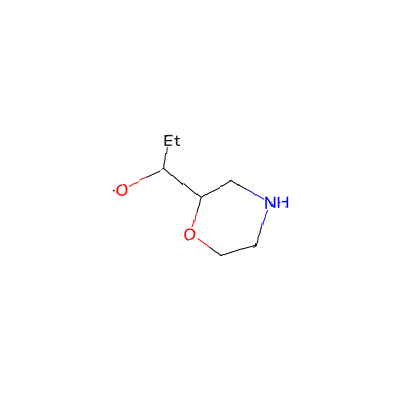 CCC([O])C1CNCCO1